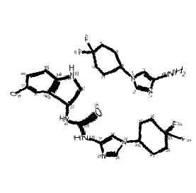 Nc1cn(C2CCC(F)(F)CC2)cn1.O=C(Nc1cn(C2CCC(F)(F)CC2)cn1)Nc1c[nH]c2ccc(Cl)cc12